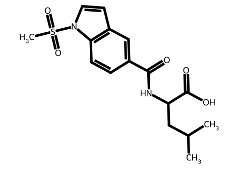 CC(C)CC(NC(=O)c1ccc2c(ccn2S(C)(=O)=O)c1)C(=O)O